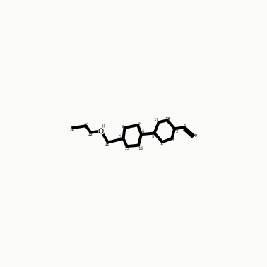 C=CC1CCC(C2CCC(COCCC)CC2)CC1